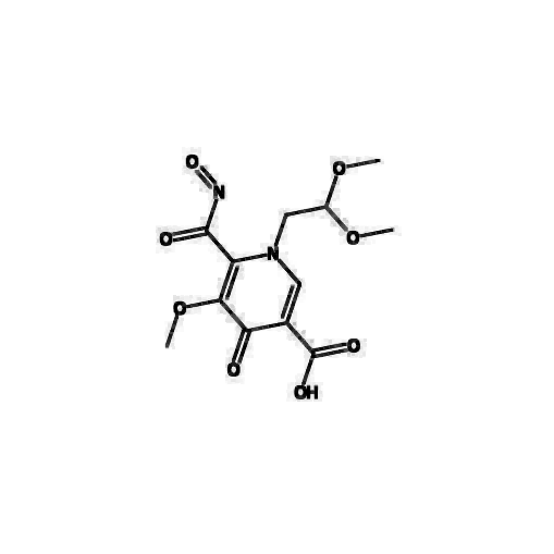 COc1c(C(=O)N=O)n(CC(OC)OC)cc(C(=O)O)c1=O